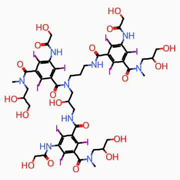 CN(CC(O)CO)C(=O)c1c(I)c(NC(=O)CO)c(I)c(C(=O)NCCCN(CC(O)CNC(=O)c2c(I)c(NC(=O)CO)c(I)c(C(=O)N(C)CC(O)CO)c2I)C(=O)c2c(I)c(NC(=O)CO)c(I)c(C(=O)N(C)CC(O)CO)c2I)c1I